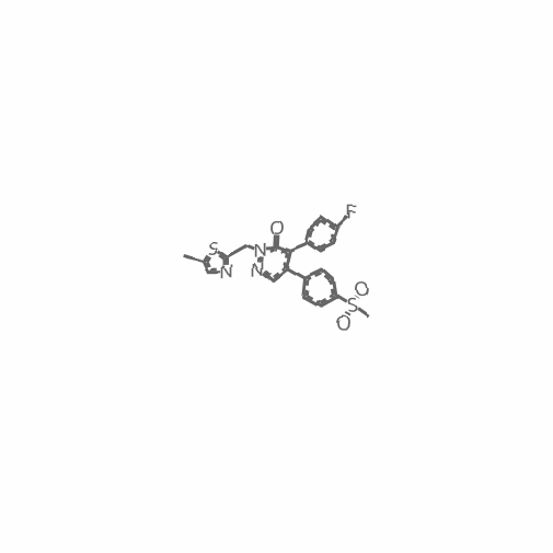 Cc1cnc(Cn2ncc(-c3ccc(S(C)(=O)=O)cc3)c(-c3ccc(F)cc3)c2=O)s1